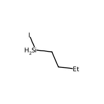 CCCC[SiH2]I